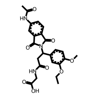 CCOc1cc(C(CC(=O)NCC(=O)O)N2C(=O)c3ccc(NC(C)=O)cc3C2=O)ccc1OC